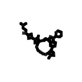 Cc1c2c(nn1C1CC(NCCN(C)C)C1)OCCCOc1c(cnn1C)-c1ccc3c(c1)c(nn3C1CCCCO1)/C=C/2